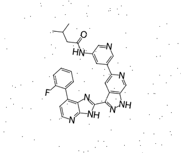 CC(C)CC(=O)Nc1cncc(-c2cc3c(-c4nc5c(-c6ccccc6F)ccnc5[nH]4)n[nH]c3cn2)c1